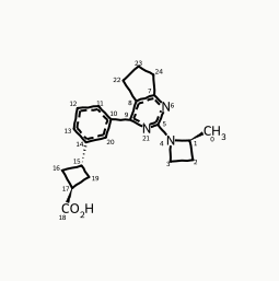 C[C@H]1CCN1c1nc2c(c(-c3cccc([C@H]4C[C@H](C(=O)O)C4)c3)n1)CCC2